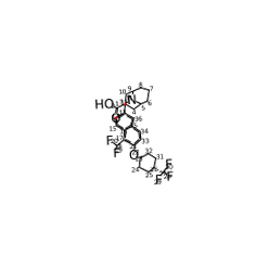 O=C(O)C1CC2CCCC(C1)N2Cc1ccc2c(C(F)F)c(O[C@H]3CC[C@@H](C(F)(F)F)CC3)ccc2c1